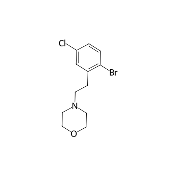 Clc1ccc(Br)c(CCN2CCOCC2)c1